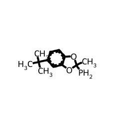 CC1(P)Oc2ccc(C(C)(C)C)cc2O1